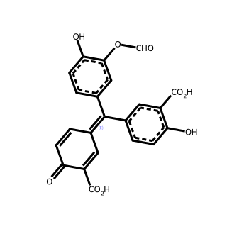 O=COc1cc(/C(=C2\C=CC(=O)C(C(=O)O)=C2)c2ccc(O)c(C(=O)O)c2)ccc1O